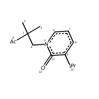 CC(=O)C(C)(C)Cn1cccc(C(C)C)c1=O